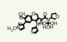 COc1cc2c(cc1-c1ccn(C)n1)-c1c(c(C(=O)N(C3CCOC3)C(O)(O)O)nn1-c1ccsc1)CO2